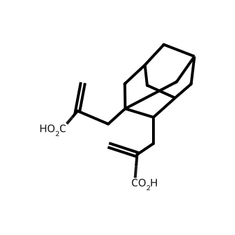 C=C(CC1C2CC3CC(C2)CC1(CC(=C)C(=O)O)C3)C(=O)O